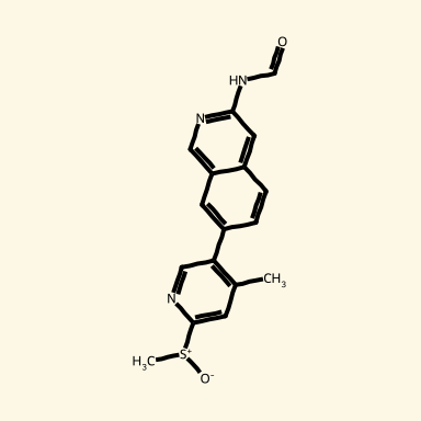 Cc1cc([S+](C)[O-])ncc1-c1ccc2cc(NC=O)ncc2c1